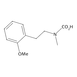 COc1ccccc1CCN(C)C(=O)O